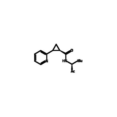 CC(=O)[C@@H](NC(=O)[C@@H]1CC1c1ccccn1)C(C)(C)C